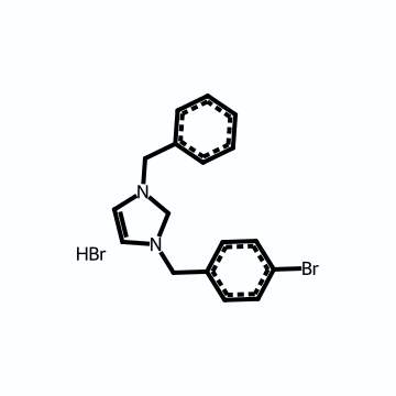 Br.Brc1ccc(CN2C=CN(Cc3ccccc3)C2)cc1